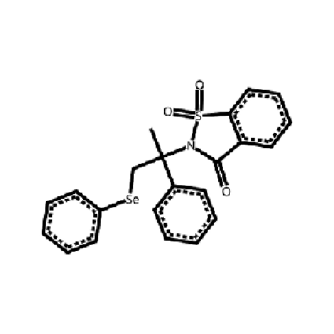 CC(C[Se]c1ccccc1)(c1ccccc1)N1C(=O)c2ccccc2S1(=O)=O